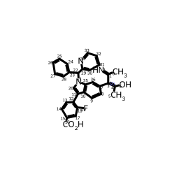 CC(=N)/C(=C(/C)O)c1ccc2c(-c3ccc(C(=O)O)cc3F)cn(C(c3ccccc3)c3ccccn3)c2c1